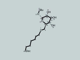 CCCCCCCCCCCCCCCCOC[C@H]1O[C@H](OCCCC)[C@H](O)[C@@H](O)[C@@H]1O